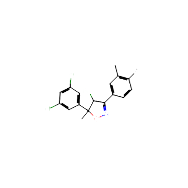 CC(=O)c1ccc(C2=NOC(C)(c3cc(Cl)cc(Cl)c3)C2Br)cc1C